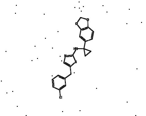 Clc1cccc(Cc2cnc(NC3(c4ccc5c(c4)OCO5)CC3)s2)c1